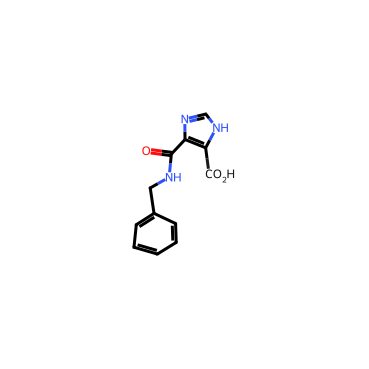 O=C(NCc1ccccc1)c1nc[nH]c1C(=O)O